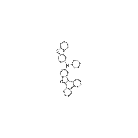 c1ccc(N(c2ccc3sc4ccccc4c3c2)c2ccc3oc4c5ccccc5c5ccccc5c4c3c2)cc1